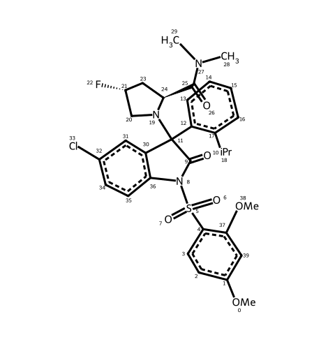 COc1ccc(S(=O)(=O)N2C(=O)C(c3ccccc3C(C)C)(N3C[C@H](F)C[C@H]3C(=O)N(C)C)c3cc(Cl)ccc32)c(OC)c1